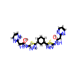 O=C(Cc1ncccn1)Nc1nnc(C2CCC[C@H](c3nnc(NC(=O)Cc4ncccn4)s3)C2)s1